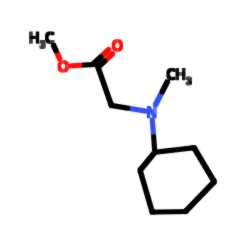 COC(=O)CN(C)C1CCCCC1